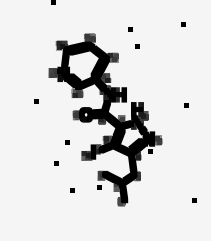 CC(C)Cc1n[nH]c(C(=O)Nc2cccnc2)c1F